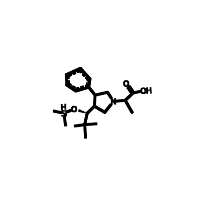 CC(C(=O)O)N1CC(c2ccccc2)C([C@@H](O[SiH](C)C)C(C)(C)C)C1